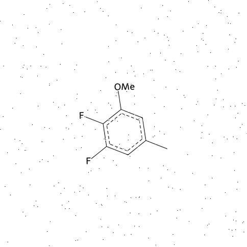 COc1cc(C)cc(F)c1F